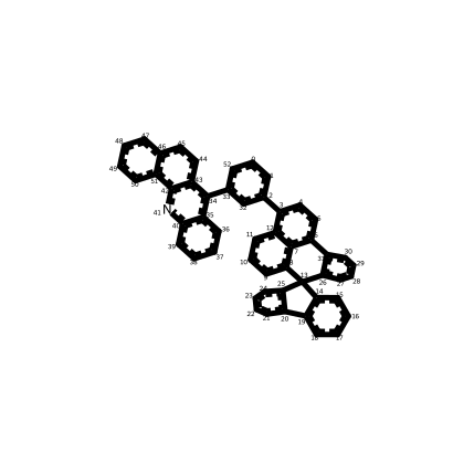 c1cc(-c2ccc3c4c(cccc24)C2(c4ccccc4-c4ccccc42)c2ccccc2-3)cc(-c2c3ccccc3nc3c2ccc2ccccc23)c1